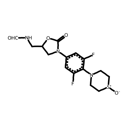 O=CNCC1CN(c2cc(F)c(N3CC[S+]([O-])CC3)c(F)c2)C(=O)O1